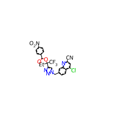 CCC(OC(=O)c1ccc([N+](=O)[O-])cc1)(c1cn(Cc2ccc3c(Cl)cc(C#N)nc3c2)nn1)C(F)(F)F